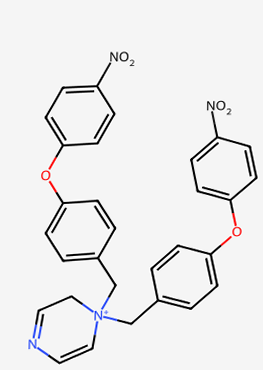 O=[N+]([O-])c1ccc(Oc2ccc(C[N+]3(Cc4ccc(Oc5ccc([N+](=O)[O-])cc5)cc4)C=CN=CC3)cc2)cc1